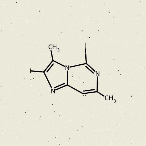 Cc1cc2nc(I)c(C)n2c(I)n1